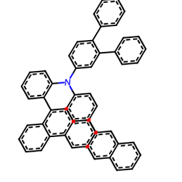 c1ccc(-c2ccc(N(c3ccc(-c4ccc5ccccc5c4)cc3)c3ccccc3-c3cc4ccccc4c4ccccc34)cc2-c2ccccc2)cc1